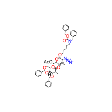 CC(=O)OCC1O[C@H](OCCCCCN(Cc2ccccc2)C(=O)OCc2ccccc2)C(N=[N+]=[N-])[C@@H](C)[C@@H]1O[C@@H]1OC2COC(c3ccccc3)O[C@H]2[C@@H](OCc2ccccc2)C1C